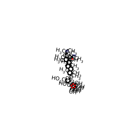 C/C=C(/C)C(=O)O[C@H]1[C@H](OC(=O)/C(C)=C\C)[C@@]2(CO)C(CC1(C)C)C1=CCC3[C@@]4(C)CC[C@H](O[C@@H]5OC(C(=O)O)[C@@H](O)[C@@H](O[C@@H]6O[C@@H](CO)[C@@H](O)C6O)C5O[C@@H]5OC(CO)[C@@H](O)[C@@H](O)C5O)C(C)(C)C4CC[C@@]3(C)[C@]1(C)C[C@H]2O